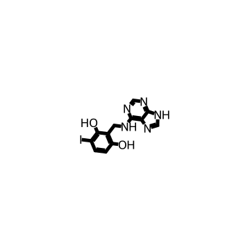 Oc1ccc(I)c(O)c1CNc1ncnc2[nH]cnc12